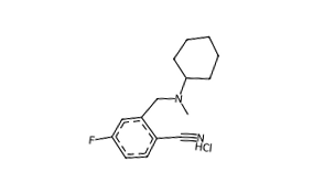 CN(Cc1cc(F)ccc1C#N)C1CCCCC1.Cl